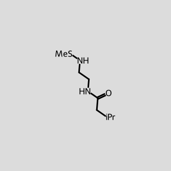 CSNCCNC(=O)CC(C)C